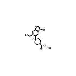 CCOc1cc2ncc(Br)n2cc1C1(O)CCN(C(=O)OC(C)(C)C)CC1